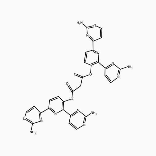 Nc1nccc(-c2ccc(OC(=O)CC(=O)Oc3ccc(-c4ccnc(N)n4)nc3-c3ccnc(N)n3)c(-c3ccnc(N)n3)n2)n1